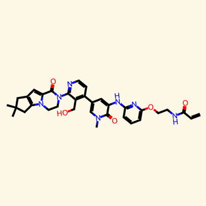 C=CC(=O)NCCOc1cccc(Nc2cc(-c3ccnc(N4CCn5c(cc6c5CC(C)(C)C6)C4=O)c3CO)cn(C)c2=O)n1